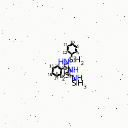 [SiH3]N[SiH2]N[SiH](N[SiH2]c1ccccc1)c1ccccc1